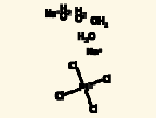 O.O.O.O.[Cl][Pt-2]([Cl])([Cl])[Cl].[Na+].[Na+]